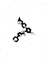 O=C(Nc1cc(C(F)(F)F)ccc1N1CCC(O)(CC2CC2)CC1)c1ccc(C2CCOCC2)o1